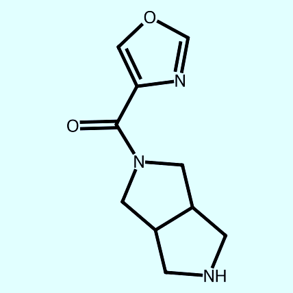 O=C(c1cocn1)N1CC2CNCC2C1